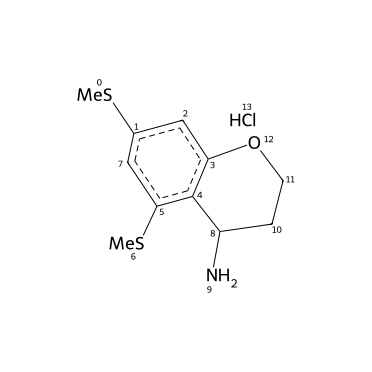 CSc1cc2c(c(SC)c1)C(N)CCO2.Cl